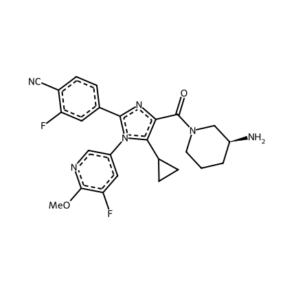 COc1ncc(-n2c(-c3ccc(C#N)c(F)c3)nc(C(=O)N3CCC[C@H](N)C3)c2C2CC2)cc1F